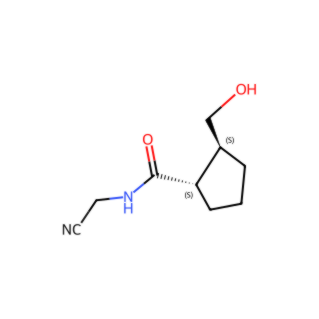 N#CCNC(=O)[C@H]1CCC[C@@H]1CO